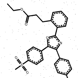 CCOC(=O)CCc1ccccc1-c1nc(-c2ccc(F)cc2)c(-c2ccc(S(C)(=O)=O)cc2)o1